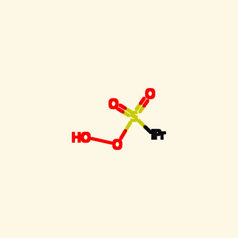 CC(C)S(=O)(=O)OO